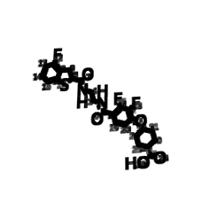 O=C(NCCNC(=O)C1Cc2c(F)cccc2S1)c1ccc(O[C@H]2CC[C@@H](C(=O)O)CC2)c(F)c1F